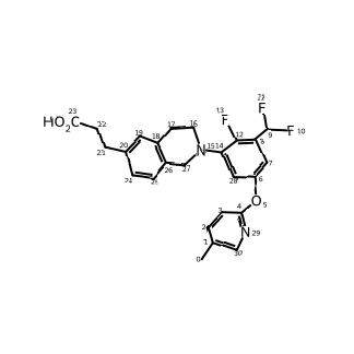 Cc1ccc(Oc2cc(C(F)F)c(F)c(N3CCc4cc(CCC(=O)O)ccc4C3)c2)nc1